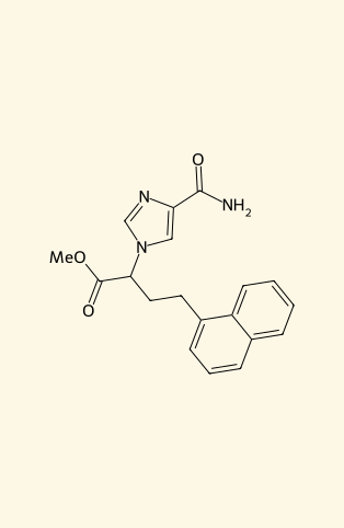 COC(=O)C(CCc1cccc2ccccc12)n1cnc(C(N)=O)c1